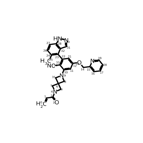 C=CC(=O)N1CC2(C1)CN(c1cc(OCc3ccccn3)cc(-c3c(C)ccc4[nH]ncc34)c1C#N)C2